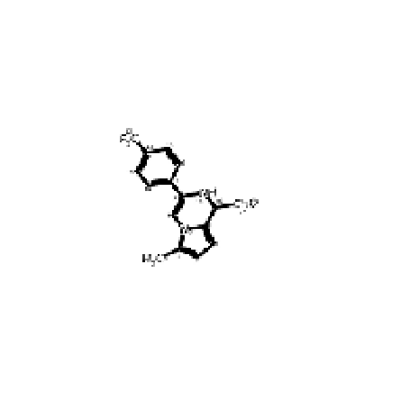 Cc1ccc2n1C=C(c1ccc(C(F)(F)F)cc1)NC2C=O